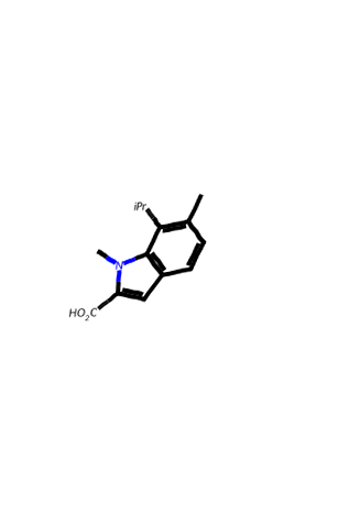 Cc1ccc2cc(C(=O)O)n(C)c2c1C(C)C